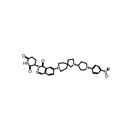 O=C1CCC(n2ncc3ccc(N4CCC5(CC4)CCN(C4CCN(c6ccc([N+](=O)[O-])cc6)CC4)C5)cc3c2=O)C(=O)N1